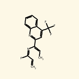 C=C/C(F)=N\C(=C/C)c1cc(C(F)(F)F)c2ccccc2n1